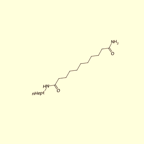 CCCCCCCNC(=O)CCCCCCCCCC(N)=O